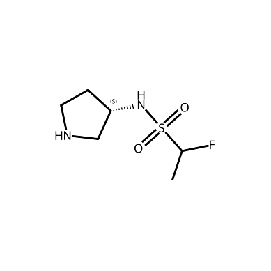 CC(F)S(=O)(=O)N[C@H]1CCNC1